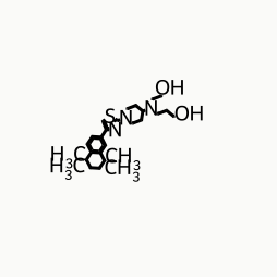 CC1(C)CCC(C)(C)c2cc(-c3csc(N4CCC(N(CCO)CCCO)CC4)n3)ccc21